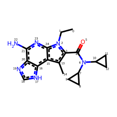 CCn1c(C(=O)N(C2CC2)C2CC2)c(C)c2c3[nH]cnc3c(N)nc21